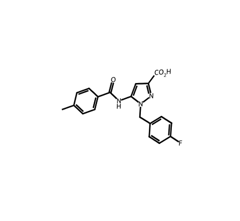 Cc1ccc(C(=O)Nc2cc(C(=O)O)nn2Cc2ccc(F)cc2)cc1